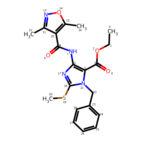 CCOC(=O)c1c(NC(=O)c2c(C)noc2C)nc(SC)n1Cc1ccccc1